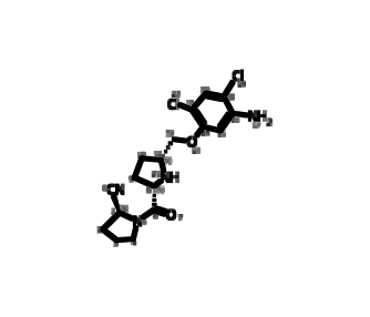 N#C[C@@H]1CCCN1C(=O)[C@@H]1CC[C@H](COc2cc(N)c(Cl)cc2Cl)N1